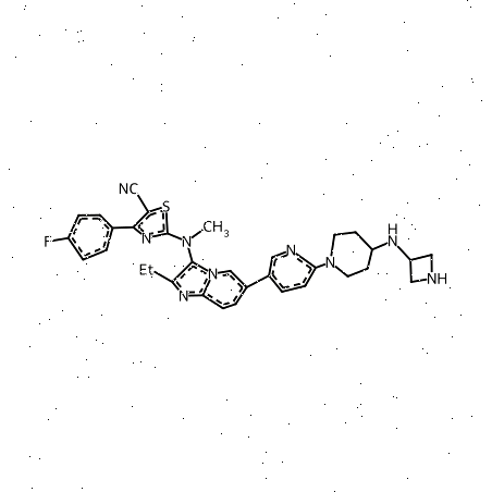 CCc1nc2ccc(-c3ccc(N4CCC(NC5CNC5)CC4)nc3)cn2c1N(C)c1nc(-c2ccc(F)cc2)c(C#N)s1